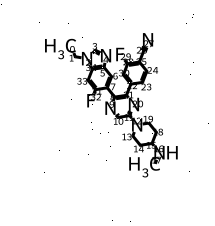 CCn1cnc2cc(-c3ncc(N4CCC(NC)CC4)nc3-c3ccc(C#N)c(F)c3)c(F)cc21